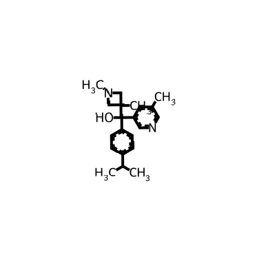 Cc1cncc(C(O)(c2ccc(C(C)C)cc2)C2(C)CN(C)C2)c1